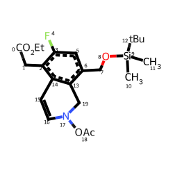 CCOC(=O)Cc1c(F)cc(CO[Si](C)(C)C(C)(C)C)c2c1C=CN(OC(C)=O)C2